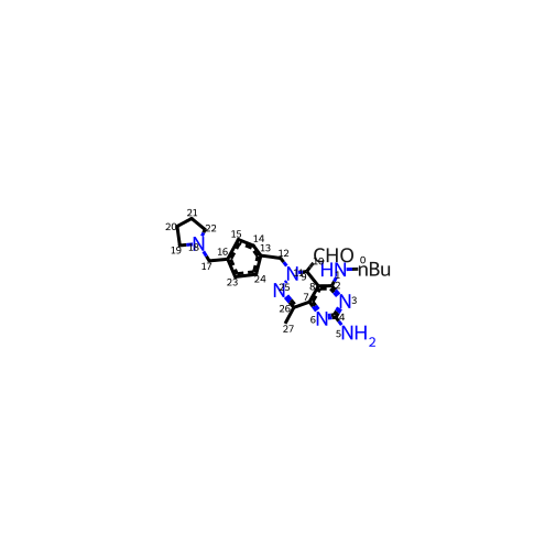 CCCCNc1nc(N)nc2c1C(C=O)N(Cc1ccc(CN3CCCC3)cc1)N=C2C